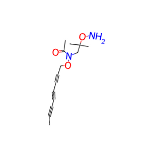 CC#CC#CC#CCON(CC(C)(C)ON)C(C)=O